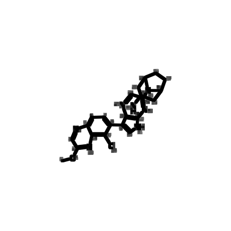 COc1cnc2ccc(-c3c[nH]c4nc(N5C6CCC5CC(N)C6)cnc34)c(Cl)c2n1